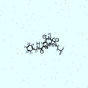 CC(C)CCNC(=O)C1(C)Cn2nc(C(=O)NCc3ccccc3)cc2C(=O)N1C